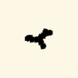 CC1(C)c2ccccc2-c2ccc(-c3ccc(N(c4ccc(-c5ccccc5)cc4)c4ccc5cc(-c6cccc7c6oc6ccccc67)ccc5c4)cc3)cc21